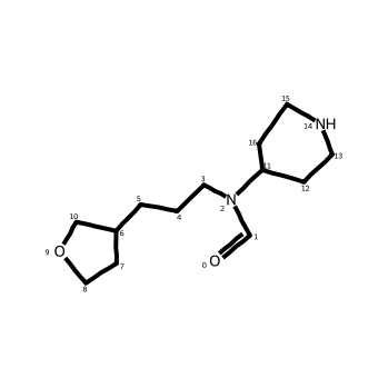 O=CN(CCCC1CCOC1)C1CCNCC1